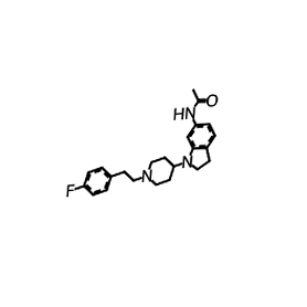 CC(=O)Nc1ccc2c(c1)N(C1CCN(CCc3ccc(F)cc3)CC1)CC2